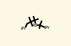 CC(C)CC(C)(C)C(C)(C)BC(C)(C)C(C)C